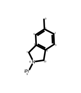 Cc1ccc2c(c1)CN(C(C)C)C2